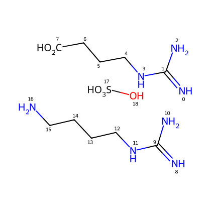 N=C(N)NCCCC(=O)O.N=C(N)NCCCCN.O=S(=O)(O)O